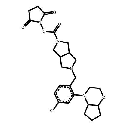 O=C(ON1C(=O)CCC1=O)N1CC2CN(Cc3ccc(Cl)cc3N3CCOC4CCCC43)CC2C1